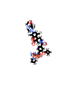 Cc1c(N2CCN3CCOC[C@H]3C2)cc(C)c2c3c(c(=O)oc12)CN(C(=O)c1ccc(C(=O)NS(=O)(=O)N2CCCC2)c(OC2CCC2)c1)CC3